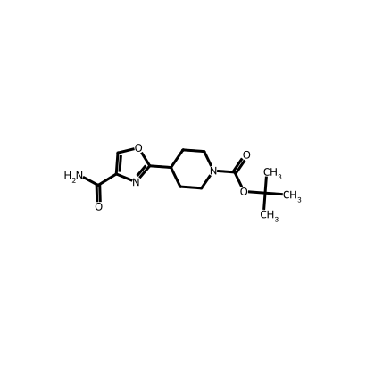 CC(C)(C)OC(=O)N1CCC(c2nc(C(N)=O)co2)CC1